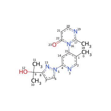 Cc1cnc(-n2ccc(C(C)(C)O)n2)cc1-n1c(C)nccc1=O